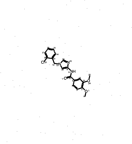 COc1ccc(C(=O)Nc2cn(Cc3ccccc3Cl)cn2)cc1OC